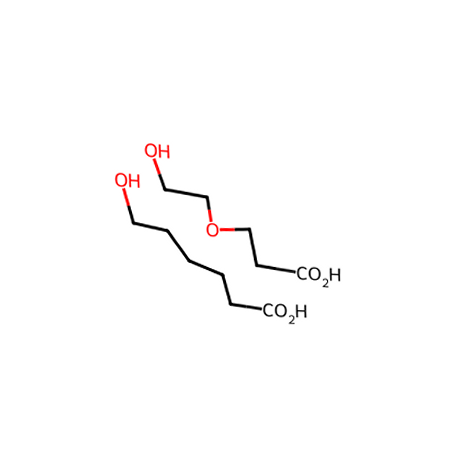 O=C(O)CCCCCO.O=C(O)CCOCCO